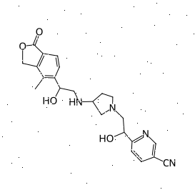 Cc1c(C(O)CNC2CCN(CC(O)c3ccc(C#N)cn3)C2)ccc2c1COC2=O